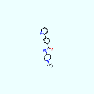 CN1CCC(NC(=O)c2ccc(-c3ccccn3)cc2)CC1